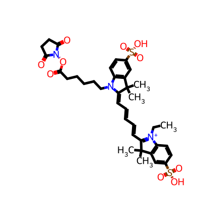 CC[N+]1=C(/C=C/C=C/C=C2/N(CCCCCC(=O)ON3C(=O)CCC3=O)c3ccc(S(=O)(=O)O)cc3C2(C)C)C(C)(C)c2cc(S(=O)(=O)O)ccc21